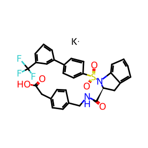 O=C(O)Cc1ccc(CNC(=O)[C@@H]2Cc3ccccc3N2S(=O)(=O)c2ccc(-c3cccc(C(F)(F)F)c3)cc2)cc1.[K]